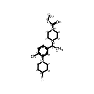 CC(c1ccc(Cl)c(N2CCC(F)CC2)c1)N1CCN(C(=O)OC(C)(C)C)CC1